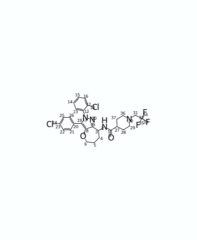 O=C(NC1CCCOc2c1nn(-c1ccccc1Cl)c2-c1ccc(Cl)cc1)C1CCN(CC(F)(F)F)CC1